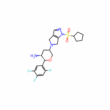 N[C@H]1CC(N2Cc3cnn(S(=O)(=O)C4CCCC4)c3C2)COC1c1cc(F)c(F)cc1F